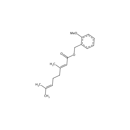 COc1ccccc1COC(=O)/C=C(\C)CCC=C(C)C